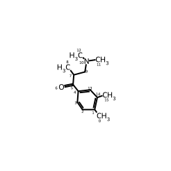 Cc1ccc(C(=O)C(C)CN(C)C)cc1C